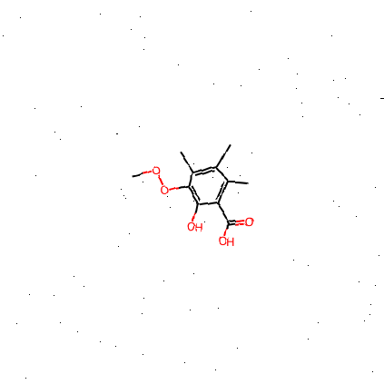 COOc1c(C)c(C)c(C)c(C(=O)O)c1O